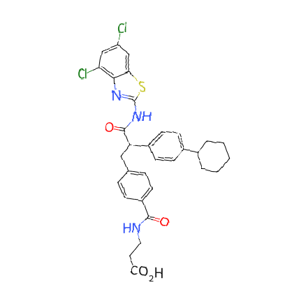 O=C(O)CCNC(=O)c1ccc(CC(C(=O)Nc2nc3c(Cl)cc(Cl)cc3s2)c2ccc(C3CCCCC3)cc2)cc1